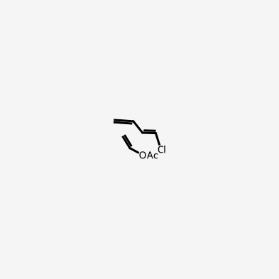 C=CC=CCl.C=COC(C)=O